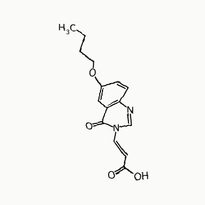 CCCCOc1ccc2ncn(C=CC(=O)O)c(=O)c2c1